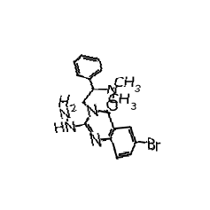 CN(C)C(Cn1c(NN)nc2ccc(Br)cc2c1=O)c1ccccc1